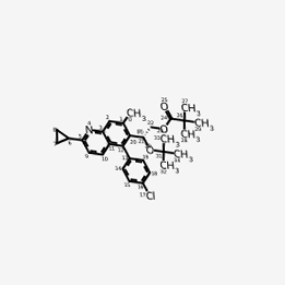 Cc1cc2nc(C3CC3)ccc2c(-c2ccc(Cl)cc2)c1[C@H](COC(=O)C(C)(C)C)OC(C)(C)C